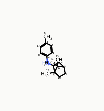 Cc1ccc(NC2CC3CCC2(C)C3(C)C)cc1